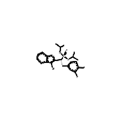 CC(C)OP(=O)(OC(C)C)[C@H](Cc1ccc(F)c(F)c1)c1sc2ccccc2c1Br